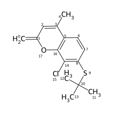 C=C1C=C(C)c2ccc(SC(C)(C)C)c(Cl)c2O1